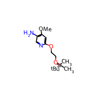 COc1cc(OCCO[Si](C)(C)C(C)(C)C)ncc1N